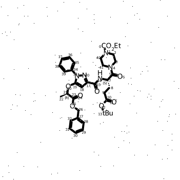 CCOC(=O)N1CCN(C(=O)[C@H](CCC(=O)OC(C)(C)C)NC(=O)c2cc(O[C@H](C)C(=O)OCc3ccccc3)n(-c3ccccc3)n2)CC1